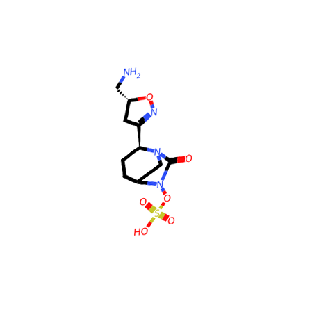 NC[C@H]1CC([C@@H]2CCC3CN2C(=O)N3OS(=O)(=O)O)=NO1